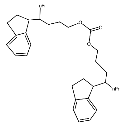 CCCC(CCCOC(=O)OCCCC(CCC)C1CCc2ccccc21)C1CCc2ccccc21